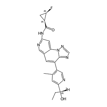 [2H][C@@](O)(CC)c1cc(C)c(-c2cc3cnc(NC(=O)[C@H]4C[C@H]4F)cc3n3ncnc23)cn1